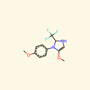 COC1=CNC(C(F)(F)F)N1c1ccc(OC)cc1